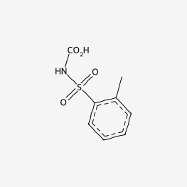 Cc1ccccc1S(=O)(=O)NC(=O)O